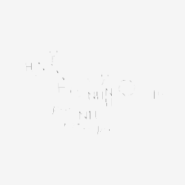 CCCCCCC(=O)N[C@H](C(=O)N[C@@H](CCCNC(N)=O)C(=O)Nc1ccc(CC(C)C)cc1)C(C)C